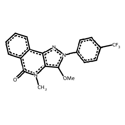 COc1c2c(nn1-c1ccc(C(F)(F)F)cc1)c1ccccc1c(=O)n2C